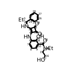 CC[C@@H](Nc1c(Nc2cccc(C(=O)N(CC)CCO)c2O)c(=O)c1=O)c1ccccc1